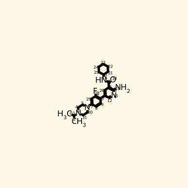 CC(C)N1CCN(c2ccc(-c3cnc(N)c(C(=O)NC4CCCCC4)c3)c(F)c2)CC1